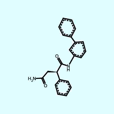 NC(=O)C[C@@H](C(=O)Nc1cccc(-c2ccccc2)c1)c1ccccc1